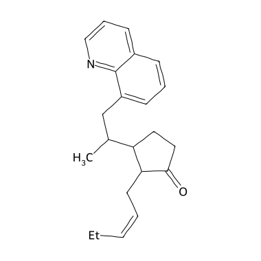 CC/C=C\CC1C(=O)CCC1C(C)Cc1cccc2cccnc12